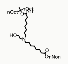 CCCCCCCCCOC(=O)CCCCCCCN(CCO)CCCCCCCC(=N)OC(C)(CCCCCCCC)CCCCCCCC